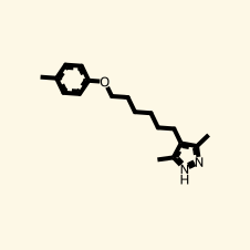 Cc1ccc(OCCCCCCc2c(C)n[nH]c2C)cc1